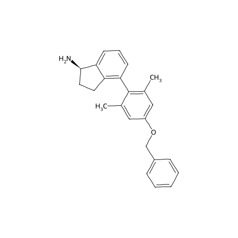 Cc1cc(OCc2ccccc2)cc(C)c1-c1cccc2c1CC[C@H]2N